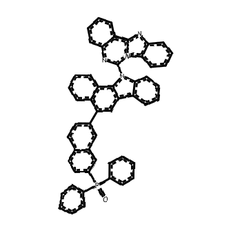 O=P(c1ccccc1)(c1ccccc1)c1ccc2ccc(-c3cc4c5ccccc5n(-c5nc6ccccc6c6nc7ccccc7n56)c4c4ccccc34)cc2c1